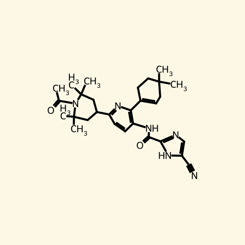 CC(=O)N1C(C)(C)CC(c2ccc(NC(=O)c3ncc(C#N)[nH]3)c(C3=CCC(C)(C)CC3)n2)CC1(C)C